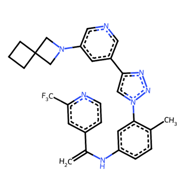 C=C(Nc1ccc(C)c(-n2cc(-c3cncc(N4CC5(CCC5)C4)c3)nn2)c1)c1ccnc(C(F)(F)F)c1